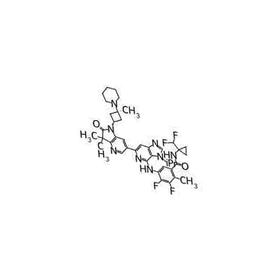 Cc1c(C(=O)NC2(C(F)F)CC2)cc(Nc2nc(-c3cnc4c(c3)N([C@H]3C[C@@](C)(N5CCCCC5)C3)C(=O)C4(C)C)cc3ncn(C(C)C)c23)c(F)c1F